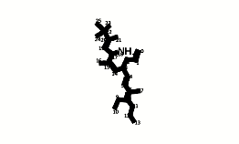 C=CCC(C=C/C(C)=C(\CC)CCC)/C=C(/C)C(N)/C=C(\C)C(C)(C)C